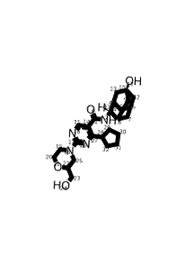 O=C(N[C@H]1C2CC3CC1C[C@@](O)(C3)C2)c1cnc(N2CCOC(CO)C2)nc1C1CCCC1